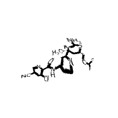 C[C@@]1(c2cc(NC(=O)c3ncc(C#N)cc3Cl)ccn2)C[C@@H](COC(F)F)SC(N)=N1